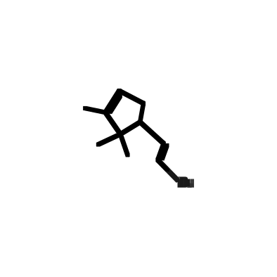 C[CH]C(C)C=CC1CC=C(C)C1(C)C